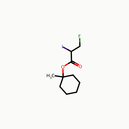 CC1(OC(=O)C(I)CF)CCCCC1